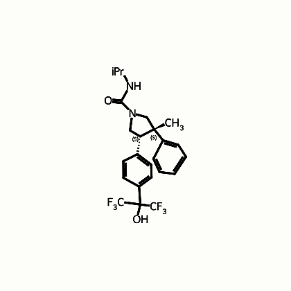 CC(C)NC(=O)N1C[C@@H](c2ccc(C(O)(C(F)(F)F)C(F)(F)F)cc2)[C@@](C)(c2ccccc2)C1